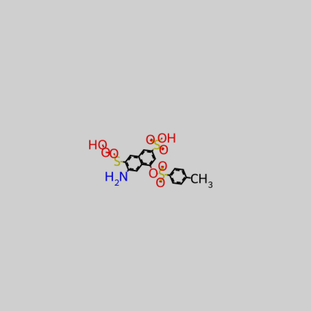 Cc1ccc(S(=O)(=O)Oc2cc(S(=O)(=O)O)cc3cc(SOOO)c(N)cc23)cc1